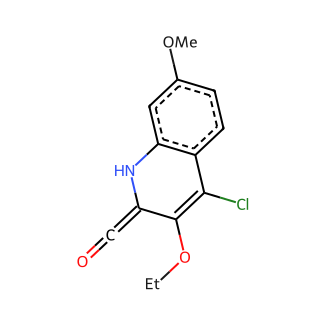 CCOC1=C(Cl)c2ccc(OC)cc2NC1=C=O